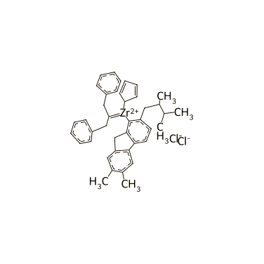 Cc1cc2c(cc1C)-c1ccc(CC(C)C(C)C)[c]([Zr+2](=[C](Cc3ccccc3)Cc3ccccc3)[CH]3C=CC=C3)c1C2.[Cl-].[Cl-]